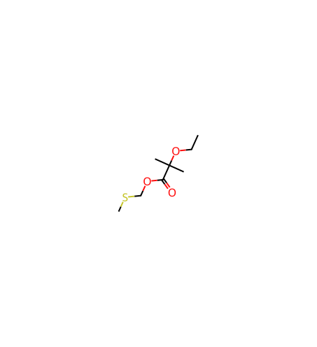 CCOC(C)(C)C(=O)OCSC